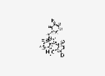 C=C1C(=O)SC(=O)N1c1cn(Cc2cccc(F)c2)c2ccccc12